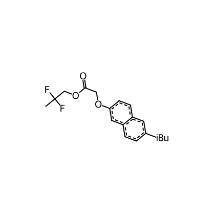 CCC(C)c1ccc2cc(OCC(=O)OCC(C)(F)F)ccc2c1